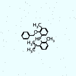 Cc1cccc(Pc2c(C)cccc2P(C)C)c1OCc1ccccc1